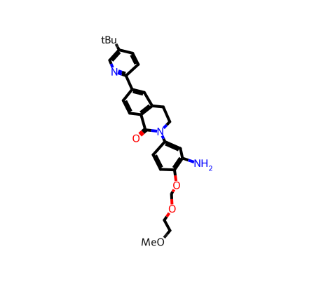 COCCOCOc1ccc(N2CCc3cc(-c4ccc(C(C)(C)C)cn4)ccc3C2=O)cc1N